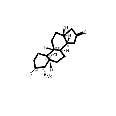 CO[C@@H]1[C@H](O)CC[C@@]2(C)[C@@H]3CC[C@]4(C)CC(=O)C[C@@H]4[C@H]3CC[C@H]12